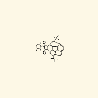 Cc1ccc(C)c(-n2c(=O)c3c4cc(C(C)(C)C)c5ccc6ccc7c(C(C)(C)C)cc(c3c2=O)c2c7c6c5c42)c1C